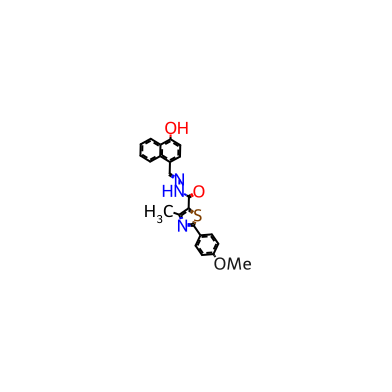 COc1ccc(-c2nc(C)c(C(=O)N/N=C/c3ccc(O)c4ccccc34)s2)cc1